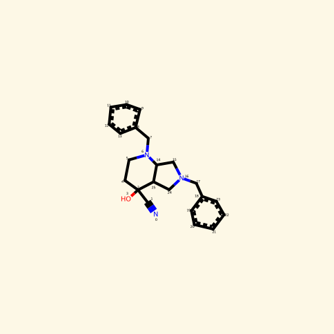 N#CC1(O)CCN(Cc2ccccc2)C2CN(Cc3ccccc3)CC21